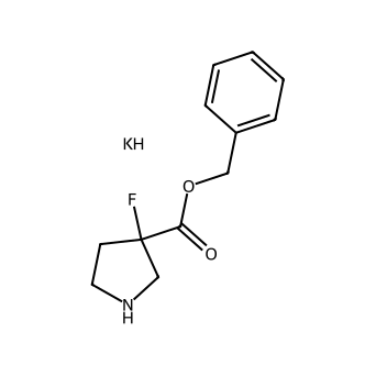 O=C(OCc1ccccc1)C1(F)CCNC1.[KH]